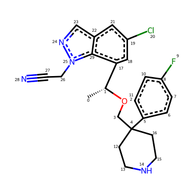 C[C@@H](OCC1(c2ccc(F)cc2)CCNCC1)c1cc(Cl)cc2cnn(CC#N)c12